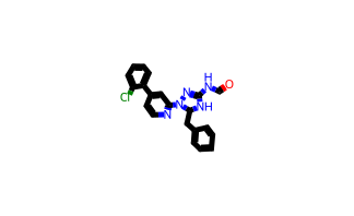 O=CNC1=NN(c2cc(-c3ccccc3Cl)ccn2)C(Cc2ccccc2)N1